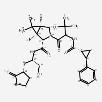 CC(C)(C)C(NC(=O)[C@@H]1C[C@H]1c1ccccc1)C(=O)N1C[C@H]2[C@@H]([C@H]1C(=O)N[C@H](CO)C[C@@H]1CCNC1=O)C2(C)C